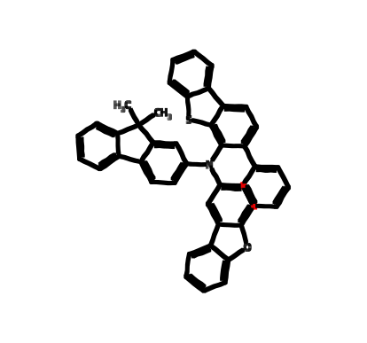 CC1(C)c2ccccc2-c2ccc(N(c3ccc4oc5ccccc5c4c3)c3c(-c4ccccc4)ccc4c3sc3ccccc34)cc21